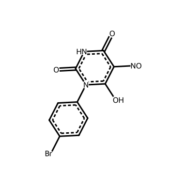 O=Nc1c(O)n(-c2ccc(Br)cc2)c(=O)[nH]c1=O